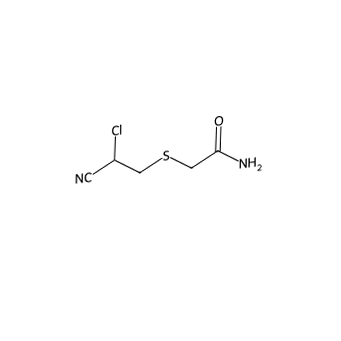 N#CC(Cl)CSCC(N)=O